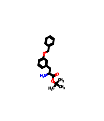 CC(C)(C)OC(=O)C(N)Cc1cccc(OCc2ccccc2)c1